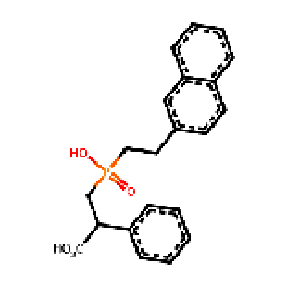 O=C(O)C(CP(=O)(O)CCc1ccc2ccccc2c1)c1ccccc1